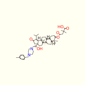 Cc1ccc(CN2CCN(C[C@@H](O)C34CC[C@]5(C)[C@H](CC[C@@H]6[C@@]7(C)CC[C@H](OC(=O)CC(C)(C)C(=O)O)C(C)(C)[C@@H]7CC[C@]65C)C3=C(C(C)C)C(=O)C4)CC2)cc1